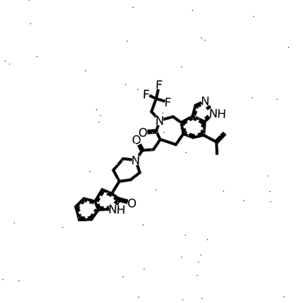 C=C(C)c1cc2c(c3cn[nH]c13)CN(CC(F)(F)F)C(=O)C(CC(=O)N1CCC(c3cc4ccccc4[nH]c3=O)CC1)C2